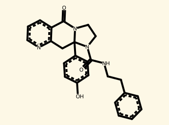 O=C(NCCc1ccccc1)N1CCN2C(=O)c3cccnc3CC12c1ccc(O)cc1